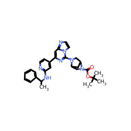 CC(Nc1cc(-c2cc3nccn3c(N3CC4CC3CN4C(=O)OC(C)(C)C)n2)ccn1)c1ccccc1